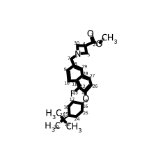 COC(=O)C1CN(Cc2ccc3c(F)c(O[C@H]4CC[C@H](C(C)(C)C)CC4)ccc3c2)C1